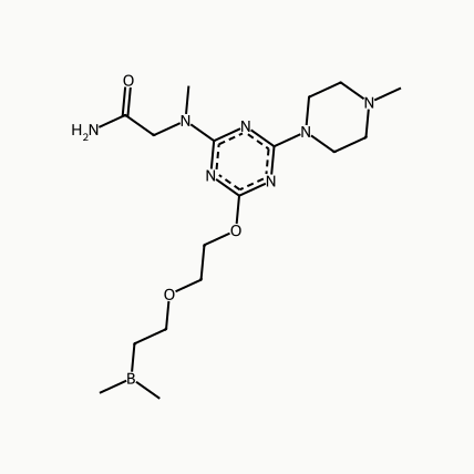 CB(C)CCOCCOc1nc(N(C)CC(N)=O)nc(N2CCN(C)CC2)n1